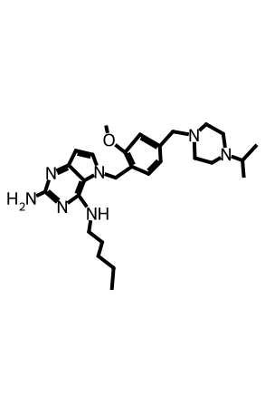 CCCCCNc1nc(N)nc2ccn(Cc3ccc(CN4CCN(C(C)C)CC4)cc3OC)c12